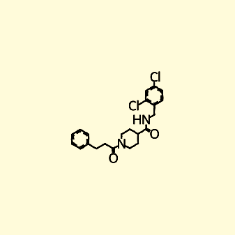 O=C(NCc1ccc(Cl)cc1Cl)C1CCN(C(=O)CCc2ccccc2)CC1